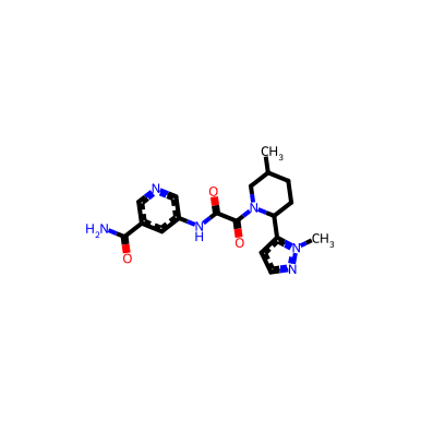 CC1CCC(c2ccnn2C)N(C(=O)C(=O)Nc2cncc(C(N)=O)c2)C1